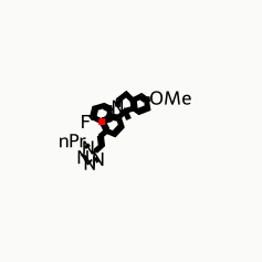 CCCn1nnnc1C=Cc1ccc(C2(C)c3ccc(OC)cc3CCN2c2ccc(F)cc2)cc1